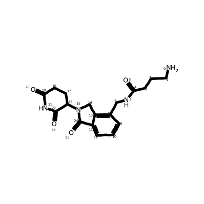 NCCCC(=O)NCc1cccc2c1CN(C1CCC(=O)NC1=O)C2=O